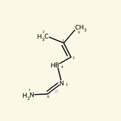 CC(C)=CB/N=C\N